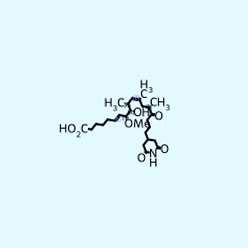 CO[C@@H](/C=C/CCCCC(=O)O)[C@@H](O)[C@H](C)/C=C(/C)C[C@H](C)C(=O)CCCC1CC(=O)NC(=O)C1